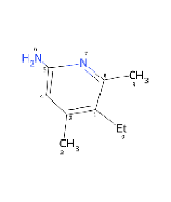 CCc1c(C)cc(N)nc1C